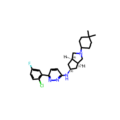 CC1(C)CCC(N2C[C@H]3C[C@@H](Nc4ccc(-c5cc(F)ccc5Cl)nn4)C[C@H]3C2)CC1